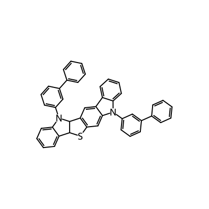 c1ccc(-c2cccc(N3c4ccccc4C4Sc5cc6c(cc5C43)c3ccccc3n6-c3cccc(-c4ccccc4)c3)c2)cc1